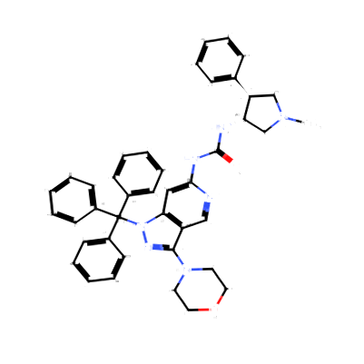 CN1C[C@H](NC(=O)Nc2cc3c(cn2)c(N2CCOCC2)nn3C(c2ccccc2)(c2ccccc2)c2ccccc2)[C@@H](c2ccccc2)C1